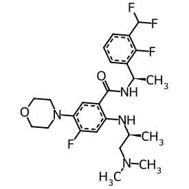 C[C@@H](CN(C)C)Nc1cc(F)c(N2CCOCC2)cc1C(=O)N[C@H](C)c1cccc(C(F)F)c1F